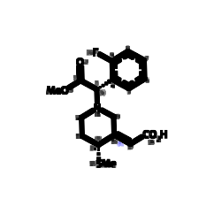 COC(=O)[C@H](c1ccccc1F)N1CC[C@@H](SC)/C(=C/C(=O)O)C1